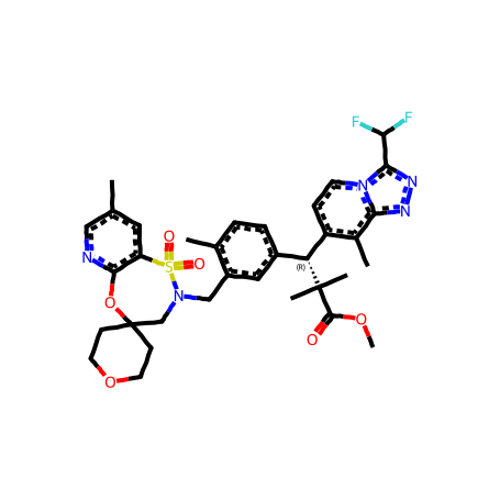 COC(=O)C(C)(C)[C@H](c1ccc(C)c(CN2CC3(CCOCC3)Oc3ncc(C)cc3S2(=O)=O)c1)c1ccn2c(C(F)F)nnc2c1C